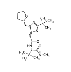 CNC(=O)[C@@H](NC(=O)/N=c1\sc(C(C)(C)C)nn1C[C@H]1CCCO1)C(C)(C)C